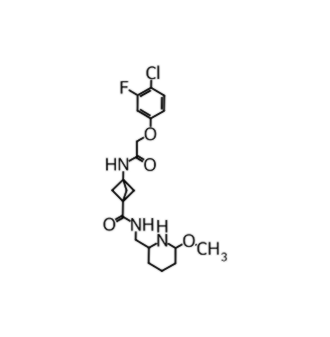 COC1CCCC(CNC(=O)C23CC(NC(=O)COc4ccc(Cl)c(F)c4)(C2)C3)N1